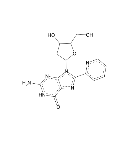 Nc1nc2c(nc(-c3ccccn3)n2C2CC(O)C(CO)O2)c(=O)[nH]1